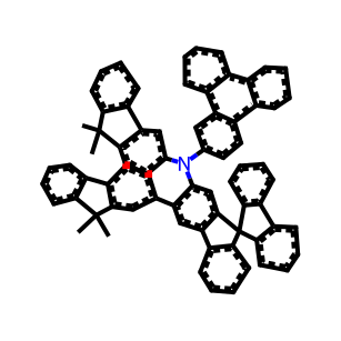 CC1(C)c2ccccc2-c2cc(N(c3ccc4c5ccccc5c5ccccc5c4c3)c3cc4c(cc3-c3ccc5c(c3)C(C)(C)c3ccccc3-5)-c3ccccc3C43c4ccccc4-c4ccccc43)ccc21